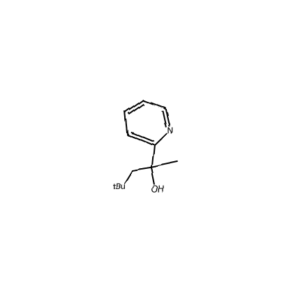 CC(C)(C)CC(C)(O)c1ccccn1